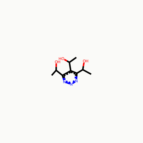 CC(O)c1nnnc(C(C)O)c1C(C)O